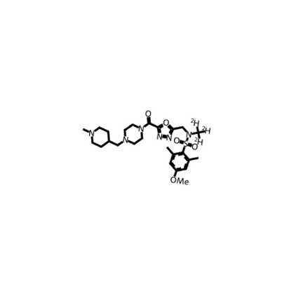 [2H]C([2H])([2H])N(Cc1nnc(C(=O)N2CCN(CC3CCN(C)CC3)CC2)o1)S(=O)(=O)c1c(C)cc(OC)cc1C